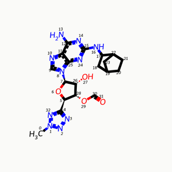 Cn1nnc([C@H]2O[C@@H](n3cnc4c(N)nc(NC5CC6CCC5C6)nc43)[C@H](O)[C@@H]2OC=O)n1